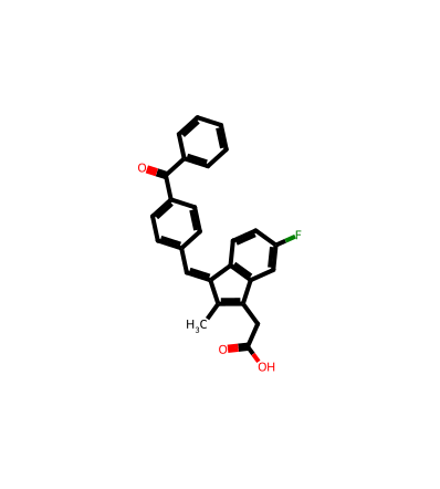 CC1=C(CC(=O)O)c2cc(F)ccc2/C1=C\c1ccc(C(=O)c2ccccc2)cc1